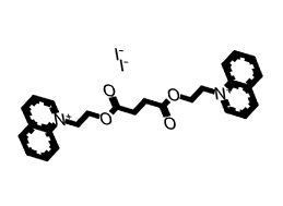 O=C(CCC(=O)OCC[n+]1cccc2ccccc21)OCC[n+]1cccc2ccccc21.[I-].[I-]